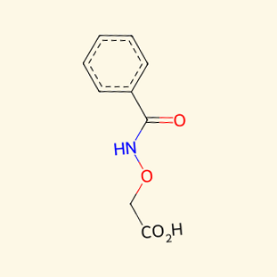 O=C(O)CONC(=O)c1ccccc1